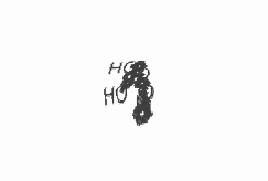 O=C(C1=C(c2ccccc2O)CCc2cc(O)ccc21)c1ccc(OCCN2CCCCC2)cc1